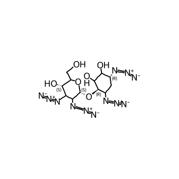 [N-]=[N+]=NC1C(N=[N+]=[N-])[C@H](O)C(CO)O[C@@H]1O[C@@H]1C(N=[N+]=[N-])C[C@@H](N=[N+]=[N-])C(O)C1O